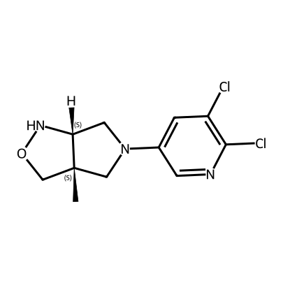 C[C@@]12CON[C@@H]1CN(c1cnc(Cl)c(Cl)c1)C2